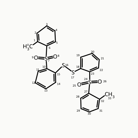 Cc1ccccc1S(=O)(=O)c1ccccc1SSc1ccccc1S(=O)(=O)c1ccccc1C